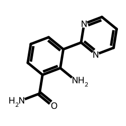 NC(=O)c1cccc(-c2ncccn2)c1N